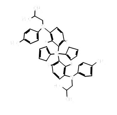 Cc1ccc(N(CC(C)C)c2ccc(F)[c]([Ti]([C]3=CC=CC3)([C]3=CC=CC3)[c]3c(F)ccc(N(CC(C)C)c4ccc(C)cc4)c3F)c2F)cc1